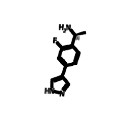 C[C@H](N)c1ccc(-c2cn[nH]c2)cc1F